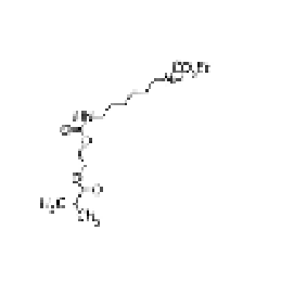 C=C(C)C(=O)OCCOC(=O)NCCCCCCNC(=O)OCC